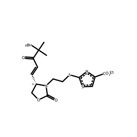 CCCCC(C)(C)C(=O)C=C[C@H]1COC(=O)N1CCSc1nc(C(=O)OCC)cs1